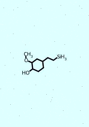 COC1CC(CC[SiH3])CCC1O